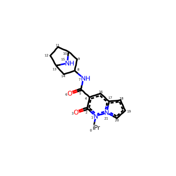 CC(C)n1c(=O)c(C(=O)NC2CC3CCC(C2)N3)cc2cccn21